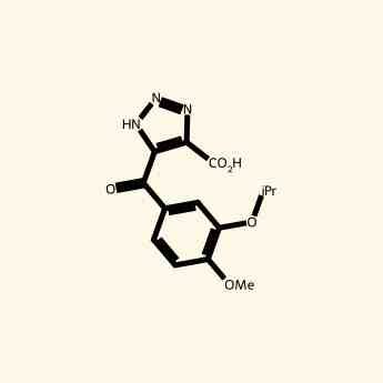 COc1ccc(C(=O)c2[nH]nnc2C(=O)O)cc1OC(C)C